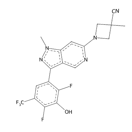 Cn1nc(-c2cc(C(F)(F)F)c(F)c(O)c2F)c2cnc(N3CC(C)(C#N)C3)cc21